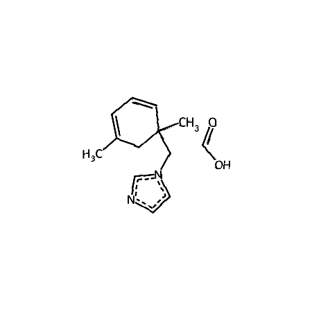 CC1=CC=CC(C)(Cn2ccnc2)C1.O=CO